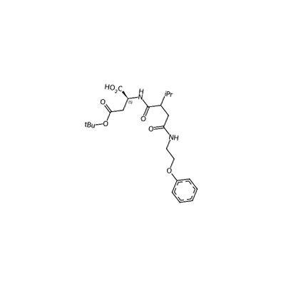 CC(C)C(CC(=O)NCCOc1ccccc1)C(=O)N[C@@H](CC(=O)OC(C)(C)C)C(=O)O